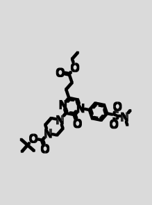 CCOC(=O)CCc1cn(-c2ccc(S(=O)(=O)N(C)C)cc2)c(=O)c(N2CCN(C(=O)OC(C)(C)C)CC2)n1